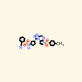 Cc1ccc(S(=O)(=O)n2ccc3c2ncc2nnc([C@@H]4CC[C@H](NS(=O)(=O)c5ccccc5C#N)C4)n23)cc1